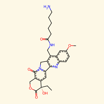 CC[C@@]1(O)C(=O)OCc2c1cc1n(c2=O)Cc2c-1nc1ccc(OC)cc1c2CNC(=O)CCCCCN